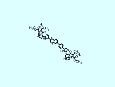 COC(=O)N[C@H](C(=O)N1C(c2ncc(-c3cnc4cc(-c5ccc(-c6cnc([C@@H]7C[C@H]8CC[C@H]8N7C(=O)[C@@H](NC(=O)OC)C(C)C)[nH]6)cc5)ccc4n3)[nH]2)CC2C[C@H]21)C(C)C